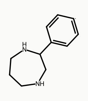 [c]1ccc(C2CNCCCN2)cc1